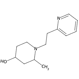 CC1CC(O)CCN1CCc1ccccn1